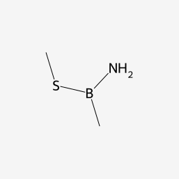 CSB(C)N